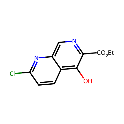 CCOC(=O)c1ncc2nc(Cl)ccc2c1O